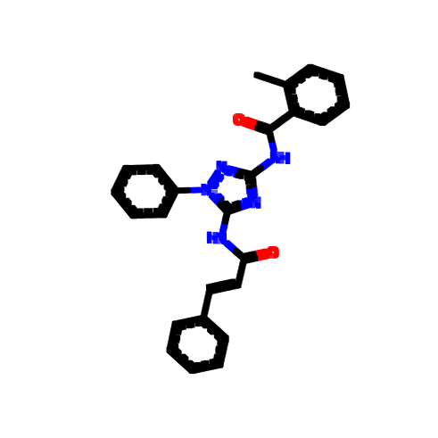 Cc1ccccc1C(=O)Nc1nc(NC(=O)/C=C/c2ccccc2)n(-c2ccccc2)n1